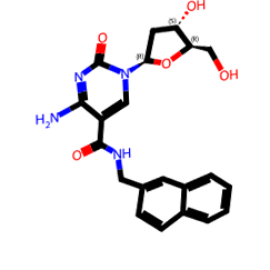 Nc1nc(=O)n([C@H]2C[C@H](O)[C@@H](CO)O2)cc1C(=O)NCc1ccc2ccccc2c1